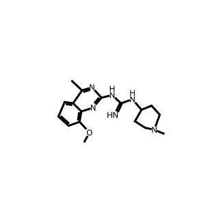 COc1cccc2c(C)nc(NC(=N)NC3CCN(C)CC3)nc12